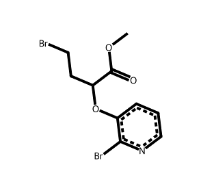 COC(=O)C(CCBr)Oc1cccnc1Br